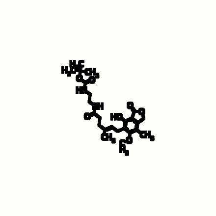 COc1c(C)c2c(c(O)c1C/C=C(\C)CCC(=O)NCCNC(=O)OC(C)(C)C)C(=O)OC2